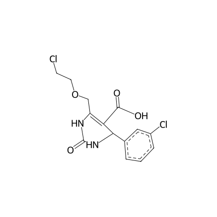 O=C1NC(COCCCl)=C(C(=O)O)C(c2cccc(Cl)c2)N1